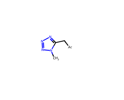 CC(=O)Cc1nnnn1C